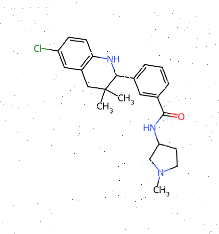 CN1CCC(NC(=O)c2cccc(C3Nc4ccc(Cl)cc4CC3(C)C)c2)C1